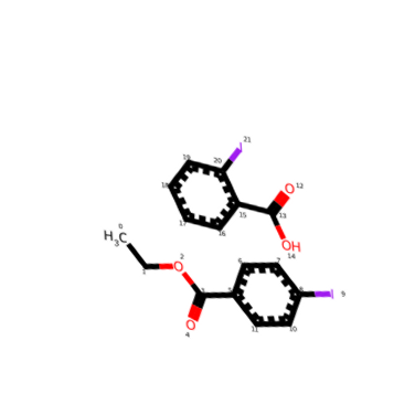 CCOC(=O)c1ccc(I)cc1.O=C(O)c1ccccc1I